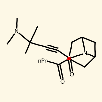 CCCC(=O)N1CC2CC(C1)N2C(=O)C#CC(C)(C)N(C)C